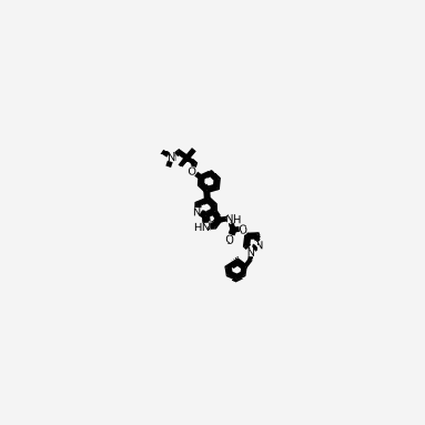 CN(C)CC(C)(C)COc1cccc(-c2cnc3[nH]cc(NC(=O)Oc4cnn(Cc5ccccc5)c4)c3c2)c1